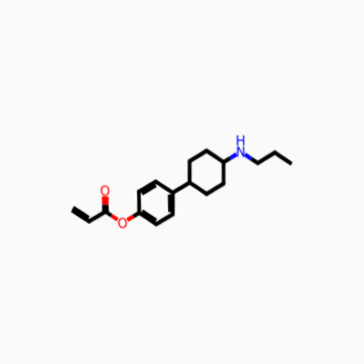 C=CC(=O)Oc1ccc(C2CCC(NCCC)CC2)cc1